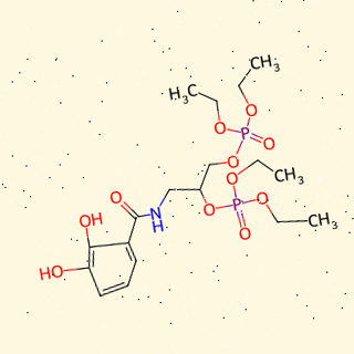 CCOP(=O)(OCC)OCC(CNC(=O)c1cccc(O)c1O)OP(=O)(OCC)OCC